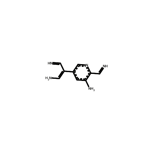 N=C/C(=C\N)c1cnc(C=N)c(N)c1